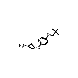 CC(C)(C)COc1ccc(O[C@H]2C[C@H](N)C2)nc1